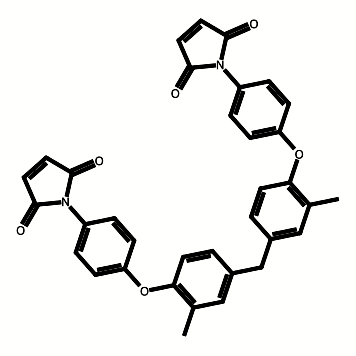 Cc1cc(Cc2ccc(Oc3ccc(N4C(=O)C=CC4=O)cc3)c(C)c2)ccc1Oc1ccc(N2C(=O)C=CC2=O)cc1